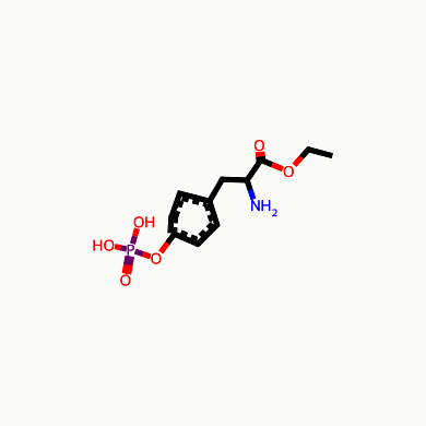 CCOC(=O)C(N)Cc1ccc(OP(=O)(O)O)cc1